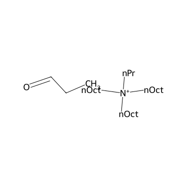 CCC=O.CCCCCCCC[N+](CCC)(CCCCCCCC)CCCCCCCC